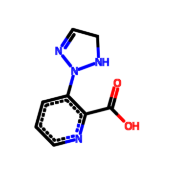 O=C(O)c1ncccc1N1N=CCN1